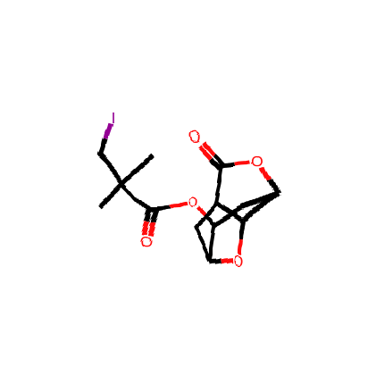 CC(C)(CI)C(=O)OC1C2CC3C(=O)OC1C3O2